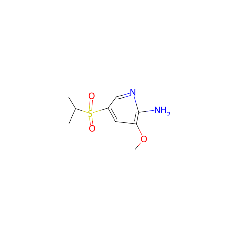 COc1cc(S(=O)(=O)C(C)C)cnc1N